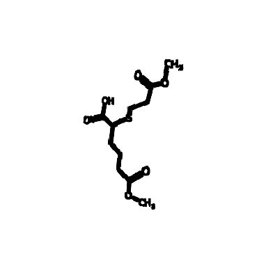 COC(=O)CCCC(SCCC(=O)OC)C(=O)O